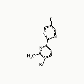 Cc1nc(-c2ncc(F)cn2)ccc1Br